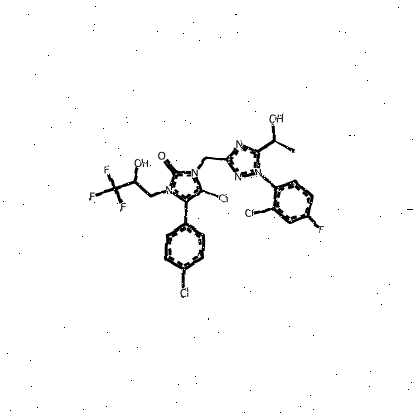 C[C@H](O)c1nc(Cn2c(Cl)c(-c3ccc(Cl)cc3)n(CC(O)C(F)(F)F)c2=O)nn1-c1ccc(F)cc1Cl